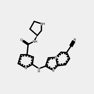 N#Cc1ccc2nc(Nc3cc(C(=O)N[C@H]4CCNC4)ccn3)cn2c1